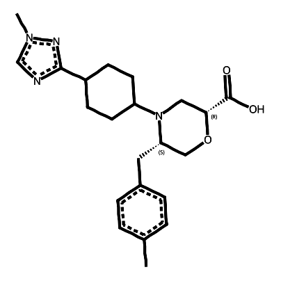 Cc1ccc(C[C@H]2CO[C@@H](C(=O)O)CN2C2CCC(c3ncn(C)n3)CC2)cc1